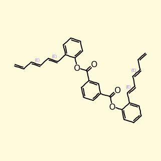 C=C/C=C/C=C/c1ccccc1OC(=O)c1cccc(C(=O)Oc2ccccc2/C=C/C=C/C=C)c1